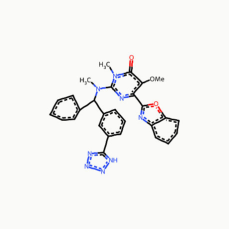 COc1c(-c2nc3ccccc3o2)nc(N(C)C(c2ccccc2)c2cccc(-c3nnn[nH]3)c2)n(C)c1=O